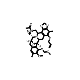 C=CCOc1c(C)c2c(c3c1CC1[C@@H]4c5c(cc(C)c(OC)c5OCOC)C[C@H]([C@H](C#N)N1C3CNC(C)=O)N4C)OCO2